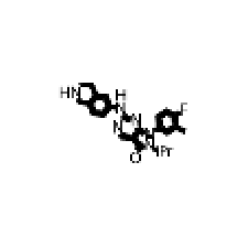 Cc1cc(-n2c3nc(Nc4ccc5c(c4)CCNC5)ncc3c(=O)n2C(C)C)ccc1F